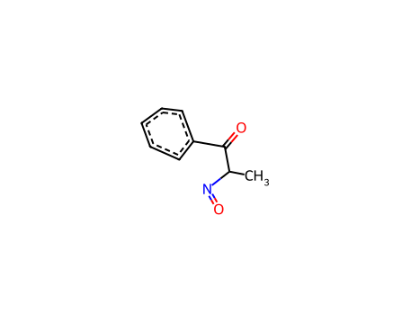 CC(N=O)C(=O)c1ccccc1